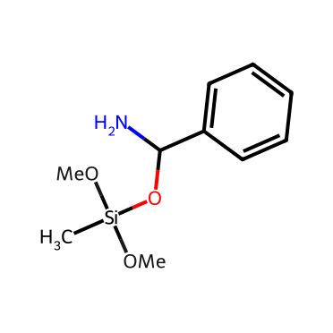 CO[Si](C)(OC)OC(N)c1ccccc1